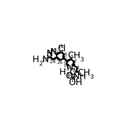 Cc1cc(CC(C)(C)NC(=O)O)ncc1-c1cc(Cl)c2nnc(N)cc2c1